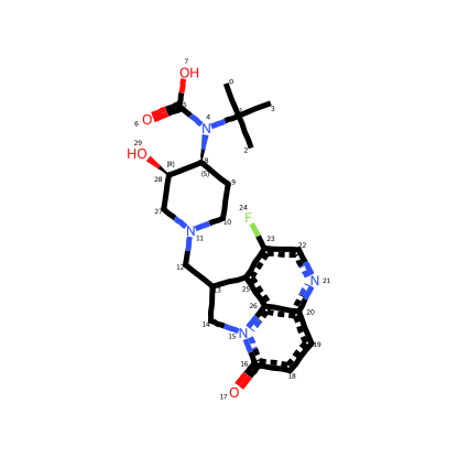 CC(C)(C)N(C(=O)O)[C@H]1CCN(CC2Cn3c(=O)ccc4ncc(F)c2c43)C[C@H]1O